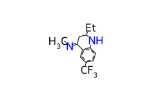 CC[C@@H]1C/C(=N\C)c2cc(C(F)(F)F)ccc2N1